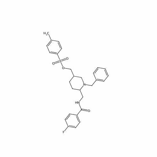 Cc1ccc(S(=O)(=O)OCC2CCC(CNC(=O)c3ccc(F)cc3)N(Cc3ccccc3)C2)cc1